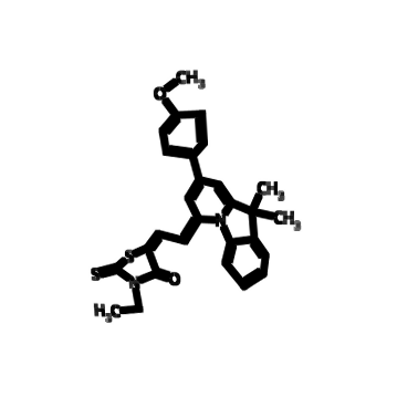 CCN1C(=O)C(=CC=C2C=C(c3ccc(OC)cc3)C=C3N2c2ccccc2C3(C)C)SC1=S